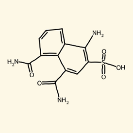 NC(=O)c1cccc2c(N)c(S(=O)(=O)O)cc(C(N)=O)c12